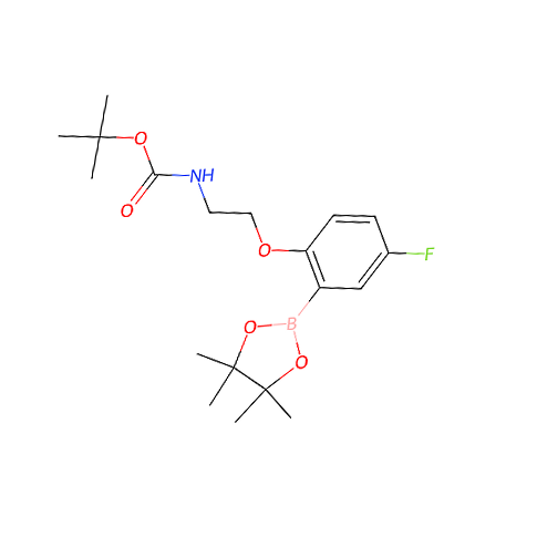 CC(C)(C)OC(=O)NCCOc1ccc(F)cc1B1OC(C)(C)C(C)(C)O1